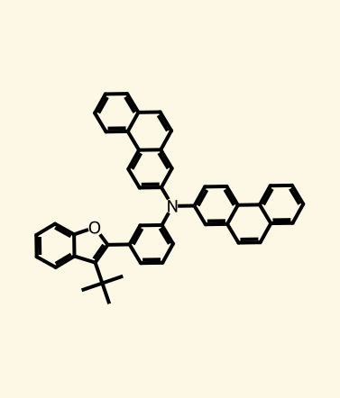 CC(C)(C)c1c(-c2cccc(N(c3ccc4c(ccc5ccccc54)c3)c3ccc4c(ccc5ccccc54)c3)c2)oc2ccccc12